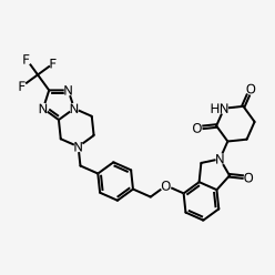 O=C1CCC(N2Cc3c(OCc4ccc(CN5CCn6nc(C(F)(F)F)nc6C5)cc4)cccc3C2=O)C(=O)N1